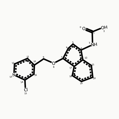 O=C(O)Nc1ccc(OCc2ccnc(Cl)c2)c2ccccc12